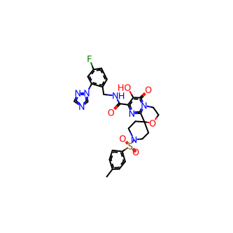 Cc1ccc(S(=O)(=O)N2CCC3(CC2)OCCn2c3nc(C(=O)NCc3ccc(F)cc3-n3cncn3)c(O)c2=O)cc1